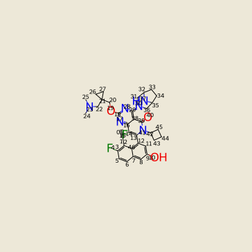 C#Cc1c(F)ccc2cc(O)cc(-c3c(F)c4nc(OCC5(CN(C)C)CC5)nc(N5CC6CCC(C5)N6)c4c(=O)n3C3CCC3)c12